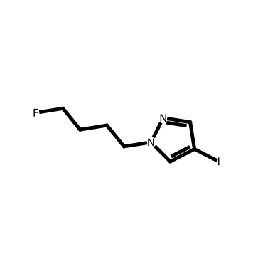 FCCCCn1cc(I)cn1